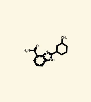 CC1CCCC(c2nc3c(C(N)=O)cccc3[nH]2)C1